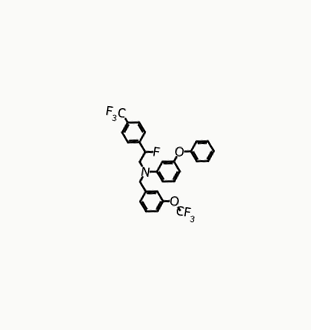 FC(CN(Cc1cccc(OC(F)(F)F)c1)c1cccc(Oc2ccccc2)c1)c1ccc(C(F)(F)F)cc1